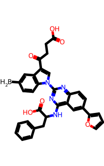 Bc1ccc2c(c1)c(C(=O)CCC(=O)O)cn2-c1nc(NC(Cc2ccccc2)C(=O)O)c2cc(-c3ccco3)ccc2n1